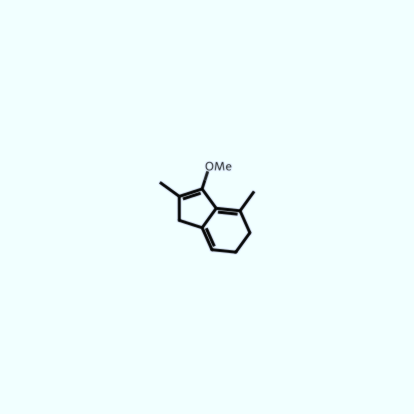 COC1=C(C)CC2=CCCC(C)=C21